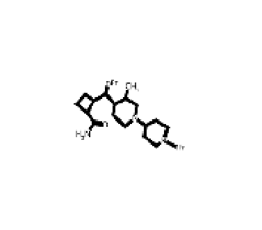 CCCC(C1CCN(C2CCN(C(C)C)CC2)CC1C)C1CCC1C(N)=O